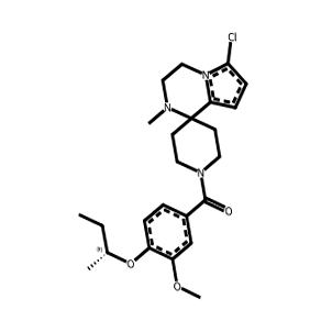 CC[C@@H](C)Oc1ccc(C(=O)N2CCC3(CC2)c2ccc(Cl)n2CCN3C)cc1OC